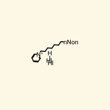 CCCCCCCCCCCCCCCC[n+]1ccccc1.I.I.I